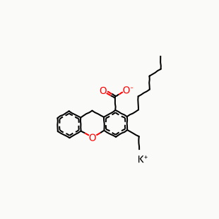 CCCCCCc1c(CC)cc2c(c1C(=O)[O-])Cc1ccccc1O2.[K+]